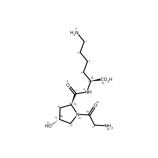 NCCCC[C@H](NC(=O)[C@@H]1C[C@@H](O)CN1C(=O)CN)C(=O)O